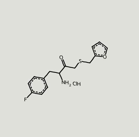 Cl.NC(Cc1ccc(F)cc1)C(=O)CSCc1ccco1